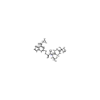 C=C(CCc1cn2ccnc2c(NC2CC2)n1)/C(Cl)=C(\C=C(C)C)N1CCN(C2(C)COC2)CC1